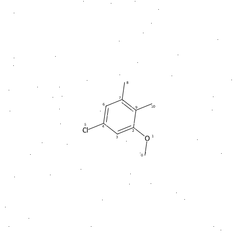 COc1cc(Cl)cc(C)c1C